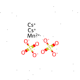 O=S(=O)([O-])[O-].O=S(=O)([O-])[O-].[Cs+].[Cs+].[Mn+2]